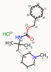 CN1CCC[C@H](CC(C)(C)NC(=O)OCc2ccccc2)C1.Cl